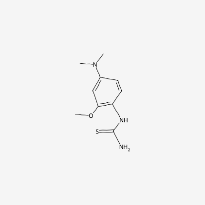 COc1cc(N(C)C)ccc1NC(N)=S